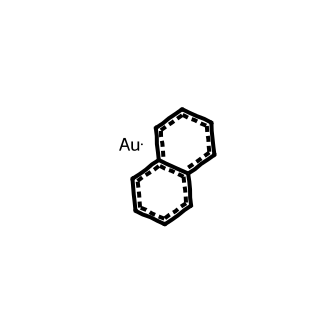 [Au].c1ccc2ccccc2c1